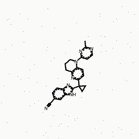 Cc1nccc(N2CCCc3nc(C4(c5nc6ccc(C#N)cc6[nH]5)CC4)ccc32)n1